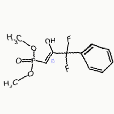 COP(=O)(/C=C(\O)C(F)(F)c1ccccc1)OC